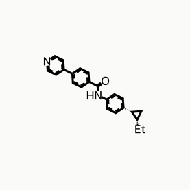 CC[C@H]1C[C@H]1c1ccc(NC(=O)c2ccc(-c3ccncc3)cc2)cc1